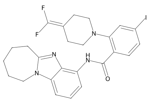 O=C(Nc1cccc2c1nc1n2CCCCC1)c1ccc(I)cc1N1CCC(=C(F)F)CC1